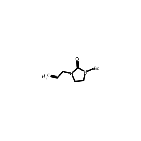 C=CCN1CCN(C(C)CC)C1=O